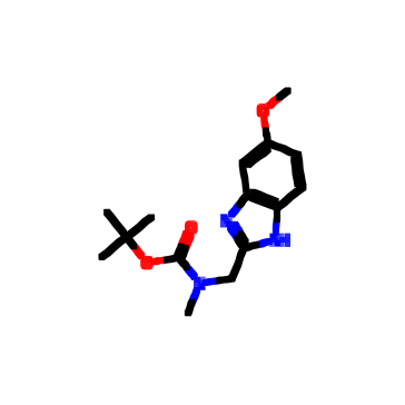 COc1ccc2[nH]c(CN(C)C(=O)OC(C)(C)C)nc2c1